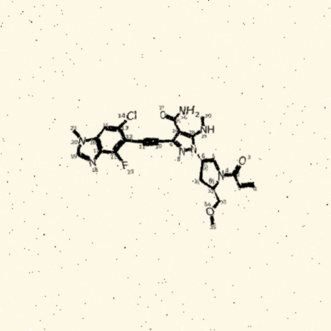 C=CC(=O)N1C[C@@H](n2nc(C#Cc3c(Cl)cc4c(ncn4C)c3F)c(C(N)=O)c2NC)C[C@@H]1COC